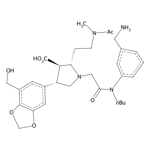 CCCCN(C(=O)CN1C[C@H](c2cc(CO)c3c(c2)OCO3)[C@@H](C(=O)O)[C@@H]1CCN(C)C(C)=O)c1cccc(CN)c1